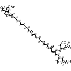 CC(=O)OCC(COC(C)=O)(COC(C)=O)C(=O)OCCCCCCCOCCOCCOCCOCCOC(=O)CN(CCN(CC(=O)O)CC(=O)O)CCN(CC(=O)O)CC(=O)O